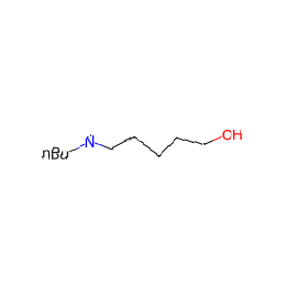 CCCC[N]CCCCCO